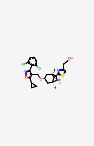 C[C@H]1C[C@@H]2C[C@@H](OCc3c(-c4c(Cl)cccc4Cl)noc3C3CC3)C[C@H]1[C@]2(O)c1nc(CCO)cs1